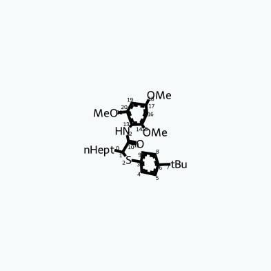 CCCCCCCC(Sc1ccc(C(C)(C)C)cc1)C(=O)Nc1c(OC)cc(OC)cc1OC